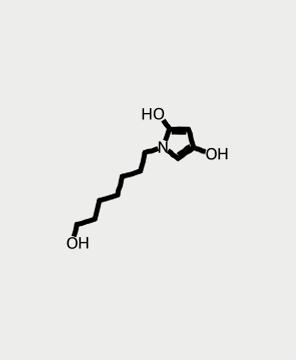 OCCCCCCCn1cc(O)cc1O